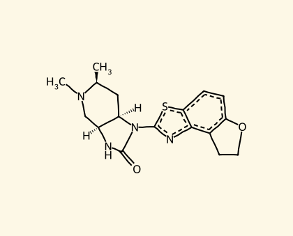 C[C@H]1C[C@@H]2[C@H](CN1C)NC(=O)N2c1nc2c3c(ccc2s1)OCC3